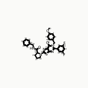 COc1ccc(Cn2c(-c3cc(F)cc(F)c3)nc3sc(N4CCCC4C(=O)NCc4ccccc4)nc3c2=O)cc1